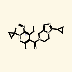 C=N/C(NC1(C)CC1)=C(\CC)C(C(=O)N1CCn2c(cnc2C2CC2)C1)=C(C)C